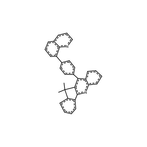 CC1(C)c2ccccc2-c2nc3ccccc3c(-c3ccc(-c4cccc5cccnc45)cc3)c21